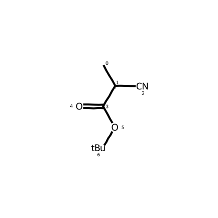 C[C](C#N)C(=O)OC(C)(C)C